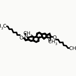 CCCCCCCCOc1cc2cc3ccc4c5cc6c(cc(OCCCCCCCC)n6C)cc5ccc4c3cc2n1C